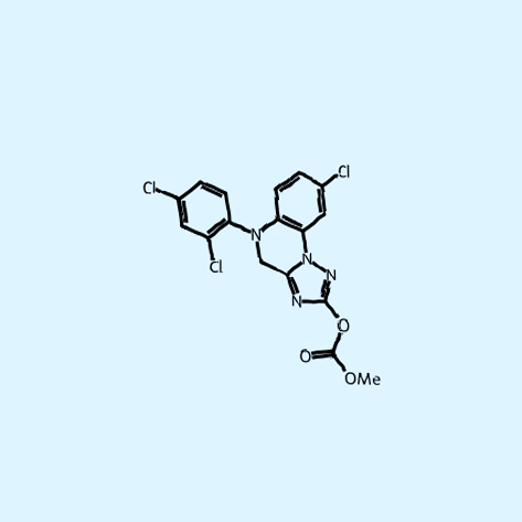 COC(=O)Oc1nc2n(n1)-c1cc(Cl)ccc1N(c1ccc(Cl)cc1Cl)C2